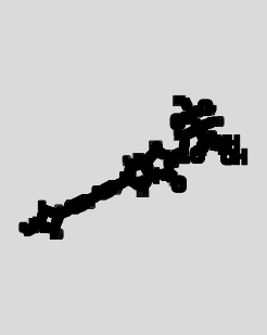 CN1CC(C#CC#Cc2cc3n(c2)C(=O)N(CCC(C)(C(=O)NO)S(C)(=O)=O)C3)C1